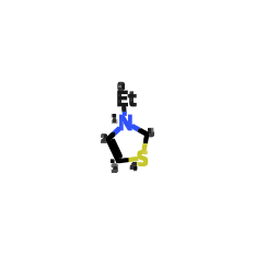 CCN1C=[C]SC1